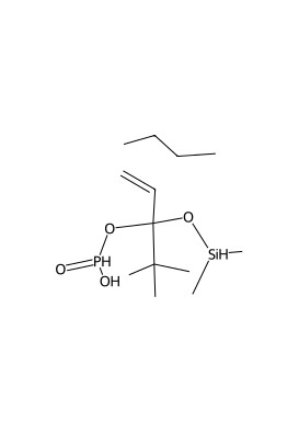 C=CC(O[SiH](C)C)(O[PH](=O)O)C(C)(C)C.CCCC